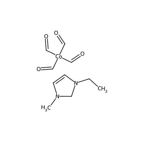 CCN1C=CN(C)C1.O=[CH][Co]([CH]=O)([CH]=O)[CH]=O